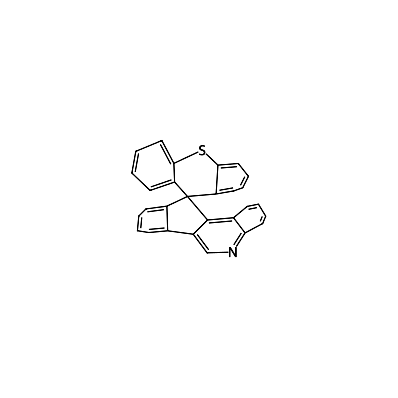 c1ccc2c(c1)Sc1ccccc1C21c2ccccc2-c2cnc3ccccc3c21